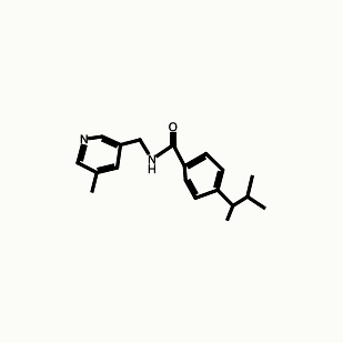 Cc1cncc(CNC(=O)c2ccc(C(C)C(C)C)cc2)c1